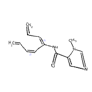 C=C/C=C\C(=C/C=C)NC(=O)c1cncn1C